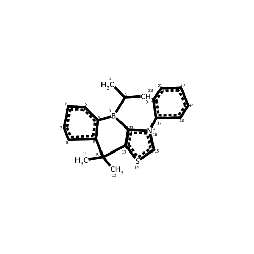 CC(C)B1c2ccccc2C(C)(C)c2sc[n+](-c3ccccc3)c21